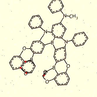 CN(c1ccccc1)c1cc2c3c(c1)N(c1ccccc1)c1cc4c(cc1B3c1cc3c(cc1N2c1ccccc1)Oc1cccc2c1B3c1ccccc1O2)B1c2ccccc2Oc2cccc(c21)O4